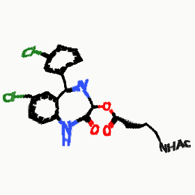 CC(=O)NCCCC(=O)OC1N=C(c2cccc(Cl)c2)c2cc(Cl)ccc2NC1=O